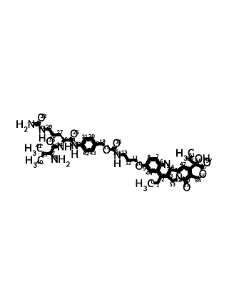 CCc1c2c(nc3ccc(OCCCNC(=O)OCc4ccc(NC(=O)[C@H](CCCNC(N)=O)NC(=O)[C@@H](N)C(C)C)cc4)cc13)-c1cc3c(c(=O)n1C2)COC(=O)[C@]3(O)CC